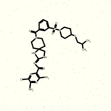 CC(C)COC1CCN(S(=O)(=O)c2cccc(C(=O)N3CCC4(CC3)CN/C(=N\C(=O)c3nc(Cl)c(N)nc3N)N4)c2)CC1